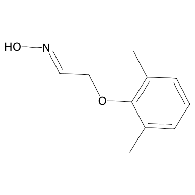 Cc1cccc(C)c1OCC=NO